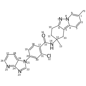 Cc1ccc2c3c(nn2c1)CCC(C)(NC(=O)c1ccc(-n2cnc4ncccc42)cc1Cl)C3